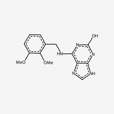 COc1cccc(CNc2nc(O)nc3[nH]cnc23)c1OC